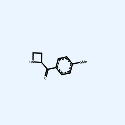 CSc1ccc(C(=O)C2CCN2)cc1